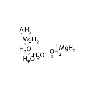 O.O.O.O.[AlH3].[MgH2].[MgH2]